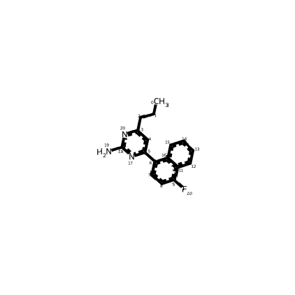 CCCc1cc(-c2ccc(F)c3ccccc23)nc(N)n1